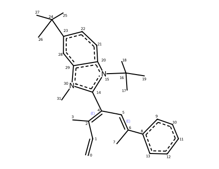 C=C/C(C)=C(\C=C(/C)c1ccccc1)c1n(C(C)(C)C)c2ccc(C(C)(C)C)cc2[n+]1C